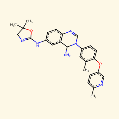 Cc1ccc(Oc2ccc(N3C=Nc4ccc(NC5=NCC(C)(C)O5)cc4C3N)cc2C)cn1